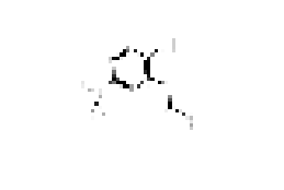 CCCNc1cc([N+](=O)[O-])ccc1C